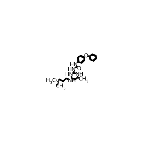 CC1CC(NCCCN(C)C)NC(NC(=O)Nc2ccc(Oc3ccccc3)cc2)N1